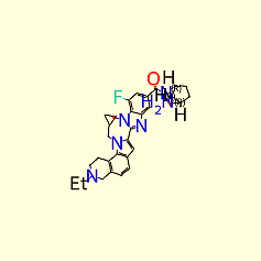 CCN1CCc2c(ccc3cc(-c4nc5cc(C(=O)N6C[C@H]7CC[C@@H]6[C@@H]7N)cc(F)c5n4C)n(CC4CC4)c23)C1